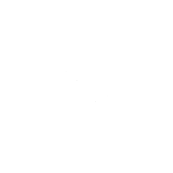 C1=C(OC2=CC2)C1